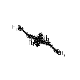 C=CC(=O)OCCCCCCCCOc1ccc(C2CCC(C(=O)Oc3c4sc(-c5ccccc5)c(C(C)C)c4c(OC(=O)C4CCC(c5ccc(OCCCCCCCCOC(=O)C=C)cc5)CC4)c4sc(-c5ccccc5)c(C(C)C)c34)CC2)cc1